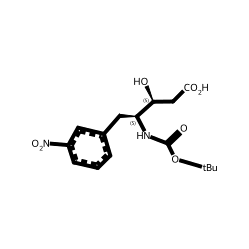 CC(C)(C)OC(=O)N[C@@H](Cc1cccc([N+](=O)[O-])c1)[C@@H](O)CC(=O)O